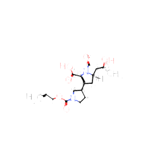 C=CCOC(=O)N1CCC(C2=C(C(=O)O)N3C(=O)[C@H]([C@@H](C)O)[C@H]3C2)C1